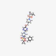 CC1(OC(=O)N2CCC(COc3cnc(N4CCN(S(=O)(=O)CC5(OCc6ccccc6)CC5)CC4)cn3)CC2)CC1